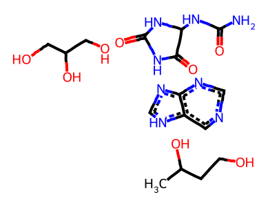 CC(O)CCO.NC(=O)NC1NC(=O)NC1=O.OCC(O)CO.c1ncc2[nH]cnc2n1